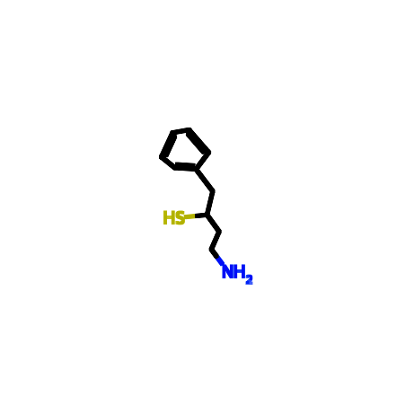 NCCC(S)Cc1ccccc1